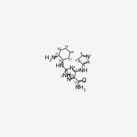 N=C(/N=C(/Nc1cncs1)C(=N)C(N)=O)N[C@@H]1CCCC[C@@H]1N